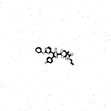 C=CCNC(=O)C1(C)COC(c2nc(-c3ccc(F)cc3)c(-c3ccnc(OC4CCCCC4)n3)[nH]2)OC1